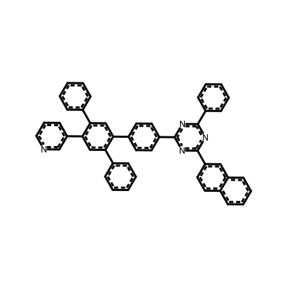 c1ccc(-c2nc(-c3ccc(-c4cc(-c5ccccc5)c(-c5cccnc5)cc4-c4ccccc4)cc3)nc(-c3ccc4ccccc4c3)n2)cc1